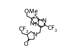 COCc1nn2c(CN3CC(=O)C(CC(F)(F)F)C3)c(C(F)(F)F)nc2s1